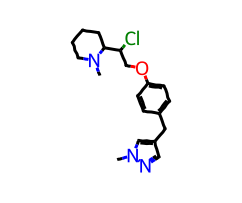 CN1CCCCC1C(Cl)COc1ccc(Cc2cnn(C)c2)cc1